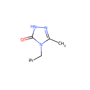 Cc1n[nH]c(=O)n1CC(C)C